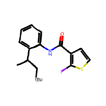 CC(CC(C)(C)C)c1ccccc1NC(=O)c1ccsc1I